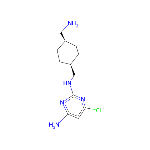 NC[C@H]1CC[C@@H](CNc2nc(N)cc(Cl)n2)CC1